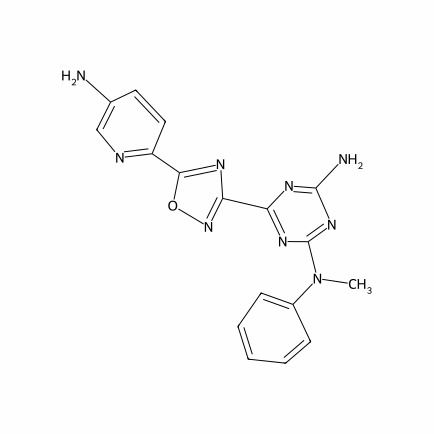 CN(c1ccccc1)c1nc(N)nc(-c2noc(-c3ccc(N)cn3)n2)n1